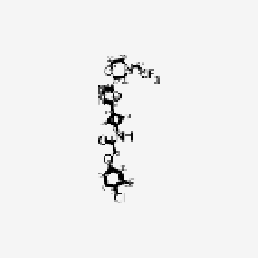 O=C(COc1ccc(Cl)c(F)c1)NC12CC(c3nnc([C@H]4CN(CC(F)(F)F)CCO4)o3)(C1)C2